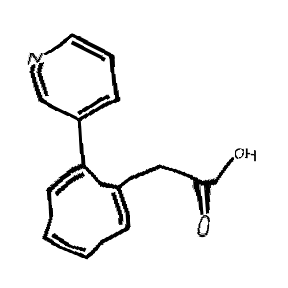 O=C(O)Cc1ccccc1-c1cccnc1